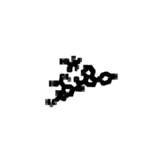 Cc1cn2cc(NC(=O)c3ccc(N4CCNCC4)c4ccnnc34)cc(C(C)O)c2n1.O=C(O)C(F)(F)F